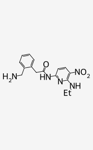 CCNc1nc(NC(=O)Cc2ccccc2CN)ccc1[N+](=O)[O-]